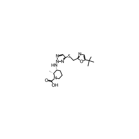 C[C@@H]1[C@H](Nn2ncc(SCc3ncc(C(C)(C)C)o3)n2)CCCN1C(=O)O